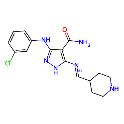 NC(=O)c1c(Nc2cccc(Cl)c2)n[nH]c1/N=C/C1CCNCC1